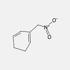 O=[N+]([O-])CC1=CCCC=C1